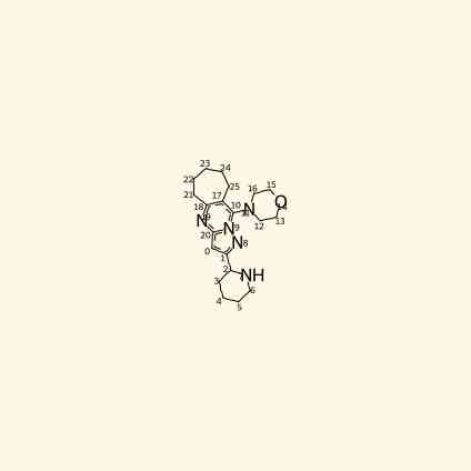 c1c(C2CCCCN2)nn2c(N3CCOCC3)c3c(nc12)CCCCC3